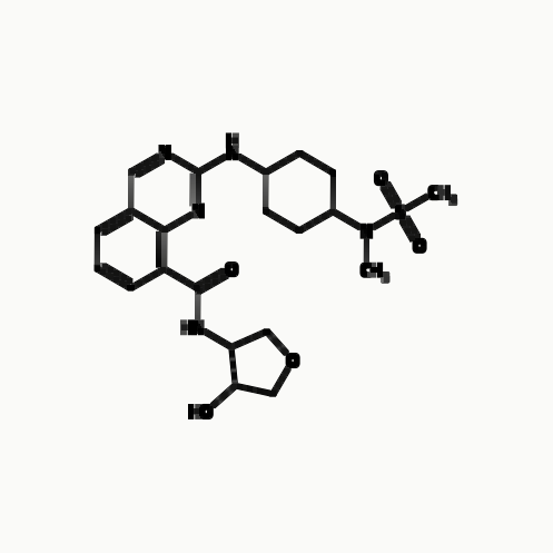 CN(C1CCC(Nc2ncc3cccc(C(=O)NC4COCC4O)c3n2)CC1)S(C)(=O)=O